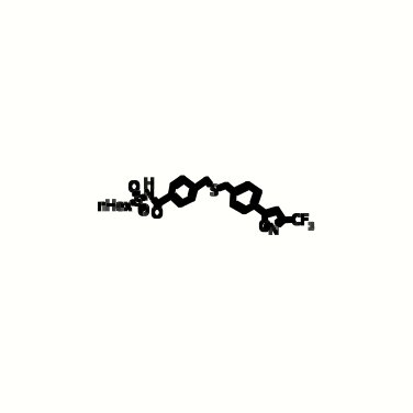 CCCCCCS(=O)(=O)NC(=O)c1ccc(CSCc2ccc(-c3cc(C(F)(F)F)no3)cc2)cc1